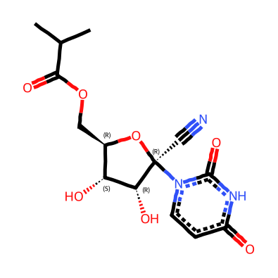 CC(C)C(=O)OC[C@H]1O[C@@](C#N)(n2ccc(=O)[nH]c2=O)[C@H](O)[C@@H]1O